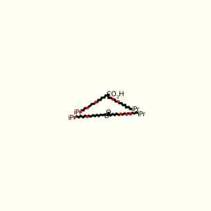 CC(C)CCCCCCCCCCCCCCCC(CCCCCCCCCCCCCC(C)C)C(=O)O.CC(C)CCCCCCCCCCCCCCCOC(=O)CCCCCCCCCCCCCCC(C)C